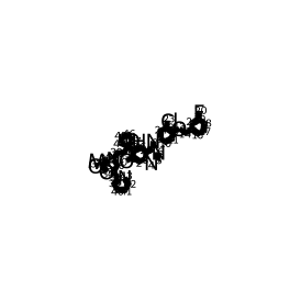 COc1cc2ncnc(Nc3ccc(OCc4cccc(F)c4)c(Cl)c3)c2cc1C1(CCN(C=S(=O)=O)CCc2ccccn2)CC=CO1